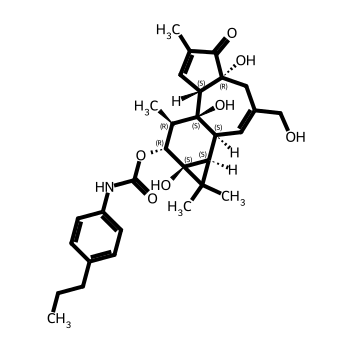 CCCc1ccc(NC(=O)O[C@@H]2[C@@H](C)[C@@]3(O)[C@@H](C=C(CO)C[C@]4(O)C(=O)C(C)=C[C@@H]34)[C@H]3C(C)(C)[C@]23O)cc1